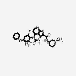 Cc1cc(Oc2ccccc2)cc(F)c1N1C(=O)Nc2c(C(=O)N[C@@H]3CCCN(C)C3)sc3nccc1c23